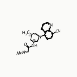 CNCC(=O)N[C@@H]1C[C@H](C)CN(c2ccc(C#N)c3ncccc23)C1